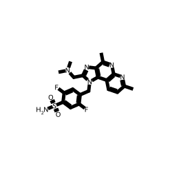 Cc1ccc2c(n1)nc(C)c1nc(CN(C)C)n(Cc3cc(F)c(S(N)(=O)=O)cc3F)c12